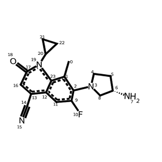 Cc1c(N2CC[C@H](N)C2)c(F)cc2c(C#N)cc(=O)n(C3CC3)c12